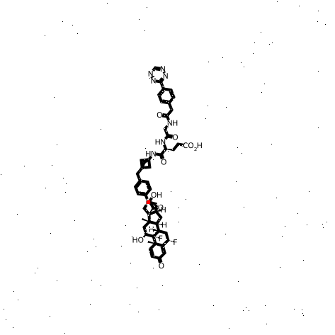 C[C@]12C=CC(=O)C=C1[C@@H](F)C[C@H]1[C@@H]3C[C@H]4CN(c5ccc(CC67CC(NC(=O)[C@H](CCC(=O)O)NC(=O)CNC(=O)Cc8ccc(-c9nncnn9)cc8)(C6)C7)cc5)C[C@@]4(C(=O)CO)[C@@]3(C)C[C@H](O)[C@@]12F